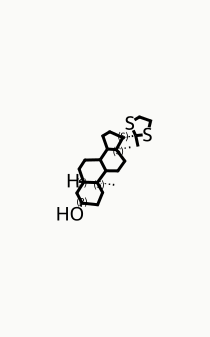 CC1([C@H]2CCC3C4CC[C@H]5C[C@H](O)CC[C@]5(C)C4CC[C@@]32C)SCCS1